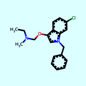 CCN(C)COc1cn(Cc2ccccc2)c2cc(Cl)ccc12